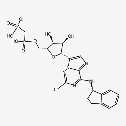 O=P(O)(O)CP(=O)(O)OC[C@H]1O[C@@H](c2cnc3c(N[C@@H]4CCc5ccccc54)nc(Cl)nn23)[C@H](O)[C@@H]1O